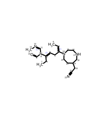 C/C=C(\C/C=C(\CC)N(C=O)/C=N\C)N1CCNCC(CC#N)CC1